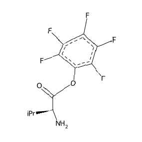 CC(C)[C@H](N)C(=O)Oc1c(F)c(F)c(F)c(F)c1F